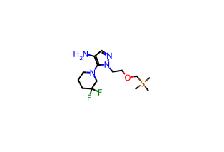 CS(C)(C)COCCn1ncc(N)c1N1CCCC(F)(F)C1